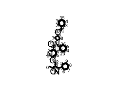 Cc1onc(-c2ccccc2)c1COc1ccc(C(=O)N(c2ccccc2)C2CC(OCc3ccccc3)C2)cn1